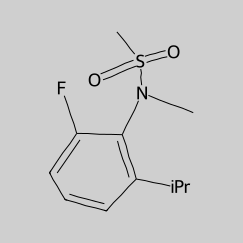 CC(C)c1cccc(F)c1N(C)S(C)(=O)=O